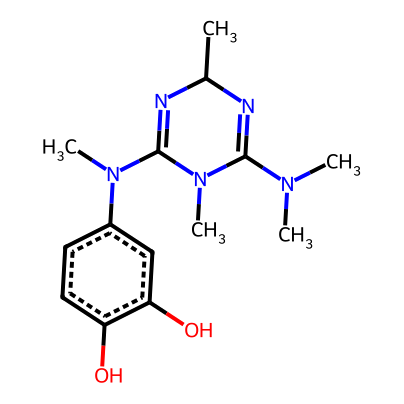 CC1N=C(N(C)C)N(C)C(N(C)c2ccc(O)c(O)c2)=N1